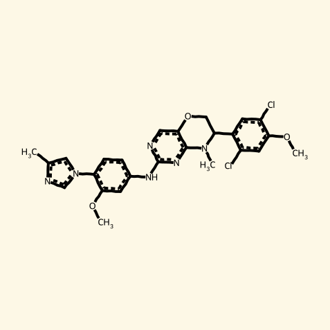 COc1cc(Cl)c(C2COc3cnc(Nc4ccc(-n5cnc(C)c5)c(OC)c4)nc3N2C)cc1Cl